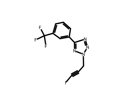 FC(F)(F)c1cccc(-c2nnn(CC#CI)n2)c1